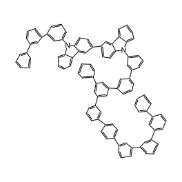 c1ccc(-c2cccc(-c3cccc(-c4cccc(-c5ccc(-c6cccc(-c7cc(-c8ccccc8)cc(-c8cccc(-c9cccc(-n%10c%11ccccc%11c%11cc(-c%12ccc%13c(c%12)c%12ccccc%12n%13-c%12cccc(-c%13cccc(-c%14ccccc%14)c%13)c%12)ccc%11%10)c9)c8)c7)c6)cc5)c4)c3)c2)cc1